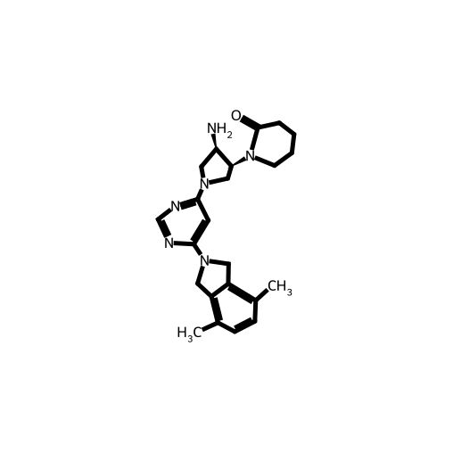 Cc1ccc(C)c2c1CN(c1cc(N3C[C@@H](N)[C@@H](N4CCCCC4=O)C3)ncn1)C2